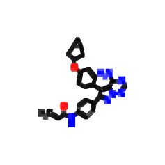 C=CC(=O)Nc1ccc(-c2nn3ncnc(N)c3c2-c2ccc(OC3CC4CC4C3)cc2)cc1